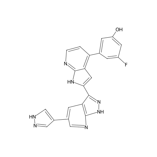 Oc1cc(F)cc(-c2ccnc3[nH]c(-c4n[nH]c5ncc(-c6cn[nH]c6)cc45)cc23)c1